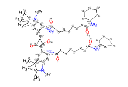 CC(C)N1c2cc(NC(=O)CCCCCCC(=O)NC3CCCCC3)c(C3=C([O-])/C(=c4/cc5c(cc4NC(=O)CCCCCCC(=O)NC4CCCCC4)=[N+](C(C)C)C(C)C5(C)C)C3=O)cc2C(C)(C)C1C